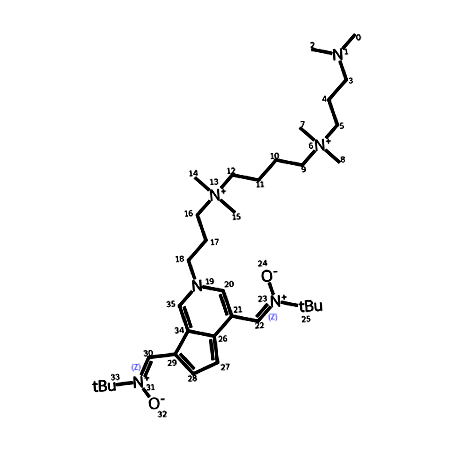 CN(C)CCC[N+](C)(C)CCCC[N+](C)(C)CCCn1cc(/C=[N+](\[O-])C(C)(C)C)c2ccc(/C=[N+](\[O-])C(C)(C)C)c-2c1